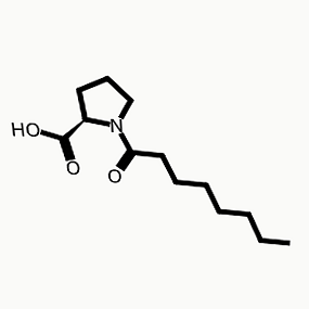 CCCCCCCC(=O)N1CCC[C@@H]1C(=O)O